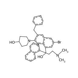 CN(C)CCC(O)(c1cccc2ccccc12)c1cc(Br)cc2cc(Cc3ccccc3)c(N3CCC(O)CC3)nc12